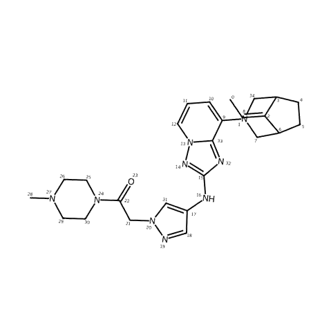 CC=C1C2CCC1CN(c1cccn3nc(Nc4cnn(CC(=O)N5CCN(C)CC5)c4)nc13)C2